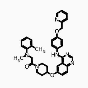 Cc1ccccc1N(C)CC(=O)N1CCC(Oc2ccc3ncnc(Nc4ccc(OCc5ccccn5)cc4)c3c2)CC1